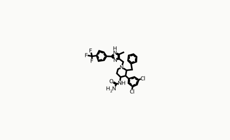 Cc1[nH]c(-c2ccc(C(F)(F)F)cc2)nc1CN1CCC(NC(N)=O)C(c2cc(Cl)cc(Cl)c2)C1Cc1ccccc1